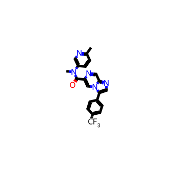 Cc1ccc(N(C)C(=O)c2cn3c(-c4ccc(C(F)(F)F)cc4)cnc3cn2)cn1